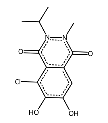 CC(C)n1c(=O)c2c(Cl)c(O)c(O)cc2c(=O)n1C